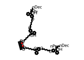 CCCCCCCCCCCC[N+](C)(CCC)CC(O)(c1ccccc1)c1ccc(OCCCCCCOc2ccc(C(O)(CCCCCCCC[Si]34OC5CC6C7C8C9CC%10O[Si]%11(CCCCCCCCC(O)(c%12ccccc%12)c%12ccc(OCCCCCCOc%13ccc(C(O)(C[N+](C)(CCC)CCCCCCCCCCCC)c%14ccccc%14)cc%13)cc%12)OC%109C8(O%11)C7(O3)C56O4)c3ccccc3)cc2)cc1